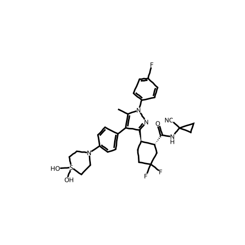 Cc1c(-c2ccc(N3CCS(O)(O)CC3)cc2)c([C@@H]2CCC(F)(F)C[C@H]2C(=O)NC2(C#N)CC2)nn1-c1ccc(F)cc1